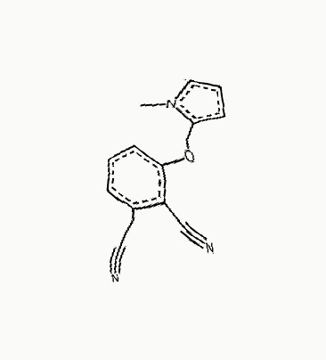 Cn1[c]ccc1Oc1cccc(C#N)c1C#N